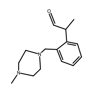 CC(C=O)c1ccccc1CN1CCN(C)CC1